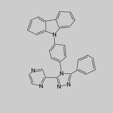 c1ccc(-c2nnc(-c3cnccn3)n2-c2ccc(-n3c4ccccc4c4ccccc43)cc2)cc1